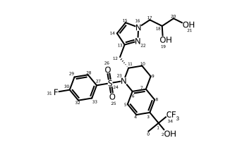 CC(O)(c1ccc2c(c1)CC[C@@H](Cc1ccn(CC(O)CO)n1)N2S(=O)(=O)c1ccc(F)cc1)C(F)(F)F